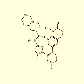 CN(C(=O)[C@@H](CC(=O)O)CC1CCOCC1)c1nc(-c2cc(F)ccc2-c2cnc3c(c2)CCC(=O)N3C)c(F)s1